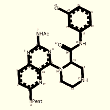 CCCCCc1ccc2nc(NC(C)=O)nc(N3CCNCC3C(=O)Nc3cccc(Cl)c3)c2n1